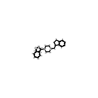 c1ccc2c(c1)CCC2CN1CCN(c2noc3ccccc23)CC1